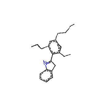 CCCCc1cc(CC)c(C2=Nc3ccccc3C2)c(CCC)c1